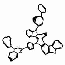 c1ccc(-c2ccc(-n3c4ccccc4c4c3ccc3c5c6c(ccc5n(-c5ccc(-c7nc(-c8ccccc8)c8ccccc8n7)cc5)c34)oc3ccccc36)cc2)cc1